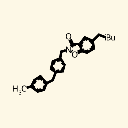 CCC(C)Cc1ccc2on(Cc3ccc(Cc4ccc(C)cc4)cc3)c(=O)c2c1